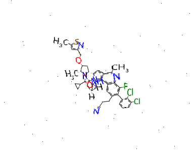 Cc1cc(CO[C@H]2C[C@H](c3cc4c(C)nc5c(F)c(-c6cccc(Cl)c6Cl)c(CCC#N)cc5c4n3[C@H]3[C@H]4CN[C@@H]3C4)N(C(=O)C3CC3)[C@@H]2C)ns1